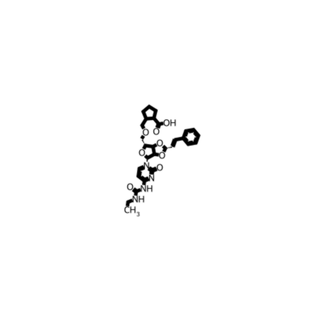 CCNC(=O)Nc1ccn([C@@H]2O[C@H](COCC3CCCC3C(=O)O)C3O[C@H](/C=C/c4ccccc4)OC32)c(=O)n1